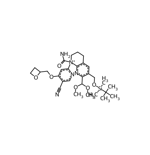 COC(OC)c1nc2c(cc1CO[Si](C)(C)C(C)(C)C)CCC[N+]2(C(N)=O)c1cc(OCC2CCO2)c(C#N)cn1